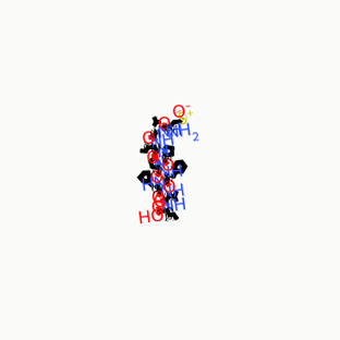 CC[C@H](C)[C@H](NC(=O)[C@@H](NC(=O)[C@H](Cc1ccccc1)NC(=O)[C@H](Cc1ccccc1)NC(=O)[C@@H]1CCCN1C(=O)[C@@H]1CCCN1C(=O)[C@@H](NC(=O)[C@H](CC(C)C)NC(=O)[C@@H](N)CC[S+](C)[O-])[C@@H](C)CC)C(C)C)C(=O)O